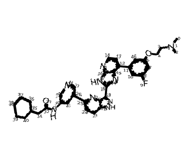 CN(C)CCOc1cc(F)cc(-c2ccnc3[nH]c(-c4n[nH]c5ccc(-c6cncc(NC(=O)CC7CCCCC7)c6)nc45)nc23)c1